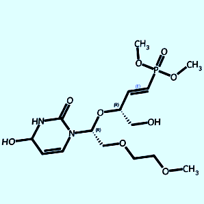 COCCOC[C@@H](O[C@H](/C=C/P(=O)(OC)OC)CO)N1C=CC(O)NC1=O